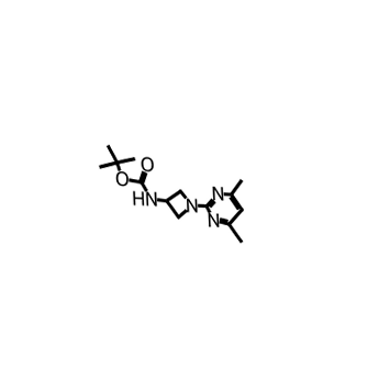 Cc1cc(C)nc(N2CC(NC(=O)OC(C)(C)C)C2)n1